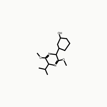 COC1=NC(C2CCCC(O)C2)C(OC)=NC1C(C)C